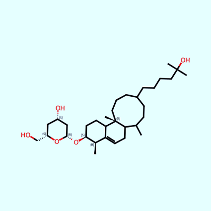 CC1CCC(CCCCC(C)(C)O)CCC[C@@]2(C)C3CC[C@H](O[C@H]4C[C@@H](O)C[C@@H](CO)O4)[C@H](C)C3=CCC12